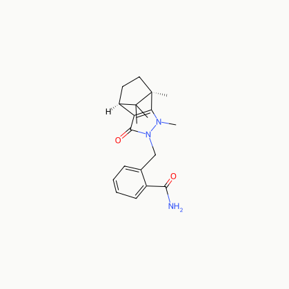 Cn1c2c(c(=O)n1Cc1ccccc1C(N)=O)[C@H]1CC[C@]2(C)C1(C)C